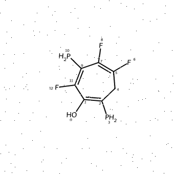 OC1=C(P)CC(F)=C(F)C(P)=C1F